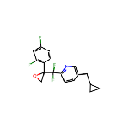 Fc1ccc(C2(C(F)(F)c3ccc(CC4CC4)cn3)CO2)c(F)c1